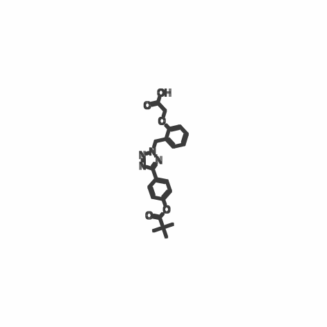 CC(C)(C)C(=O)Oc1ccc(-c2nnn(Cc3ccccc3OCC(=O)O)n2)cc1